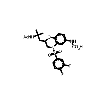 CC(=O)NC(C)(C)CC1CN(S(=O)(=O)c2ccc(F)c(F)c2)c2cc(NC(=O)O)ccc2O1